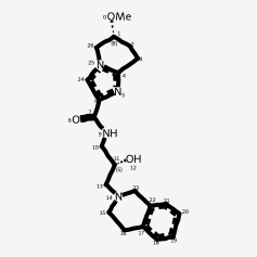 CO[C@@H]1CCc2nc(C(=O)NC[C@H](O)CN3CCc4ccccc4C3)cn2C1